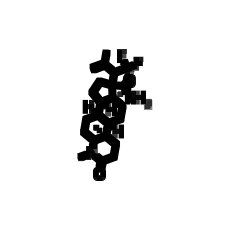 C=C(C)C(C(F)(F)F)C1(C(N)=O)CC[C@H]2[C@@H]3CCC4N(C)C(=O)CC[C@]4(C)[C@@H]3CC[C@@]21C